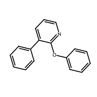 c1ccc(Oc2ncccc2-c2ccccc2)cc1